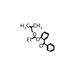 C=C(C)COC(CC)Oc1ccccc1C(=O)c1ccccc1